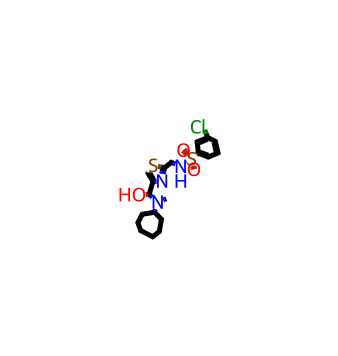 CN(C1CCCCCC1)C(O)c1csc(CNS(=O)(=O)c2cccc(Cl)c2)n1